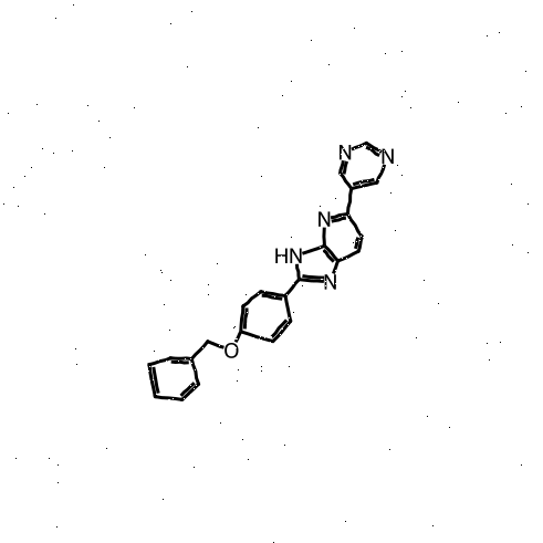 c1ccc(COc2ccc(-c3nc4ccc(-c5cncnc5)nc4[nH]3)cc2)cc1